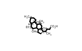 CC[C@H]1[C@@H](OC(C)=O)C2C3CC[C@H]([C@H](C)CCC(=O)O)[C@@]3(C)C[C@H](C)C2[C@@]2(C)CC[C@@H](C)C[C@@H]12